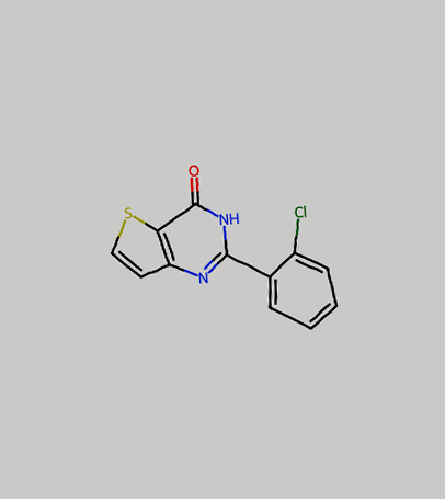 O=c1[nH]c(-c2ccccc2Cl)nc2ccsc12